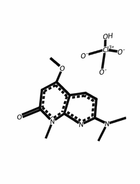 COc1cc(=O)n(C)c2nc(N(C)C)ccc12.[O-][Cl+3]([O-])([O-])O